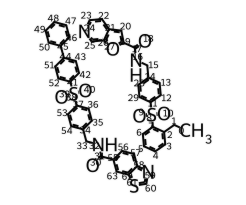 CCc1ccccc1S(=O)(=O)c1ccc(CNC(=O)c2cc3ccncc3o2)cc1.O=C(NCc1ccc(S(=O)(=O)c2ccc(-c3ccccc3)cc2)cc1)c1ccc2ncsc2c1